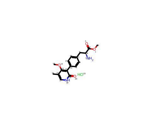 COC(=O)[C@@H](N)Cc1ccc(-c2c(OC)c(C)c[nH]c2=O)cc1.Cl